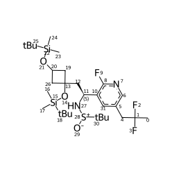 CC(F)(F)Cc1cnc(F)c([C@H](CC2(O[Si](C)(C)C(C)(C)C)CC(O[Si](C)(C)C(C)(C)C)C2)N[S+]([O-])C(C)(C)C)c1